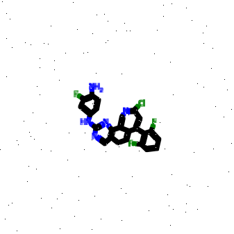 Nc1ccc(Nc2ncc3c(n2)C2=CN=C(Cl)C=C(c4c(F)cccc4F)C2=CC3)cc1F